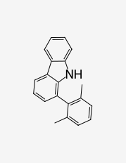 Cc1cccc(C)c1-c1cccc2c1[nH]c1ccccc12